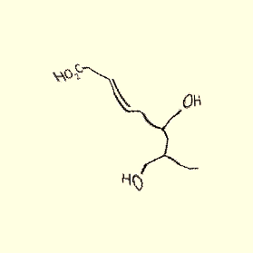 CC(O)C(O)C=CC(=O)O